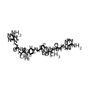 CC(CNC(=O)CCn1cnc2c(N)ncnc21)C(=O)Nc1ccc(/N=C/c2ccc(NC(=O)C(C)CNC(=O)CCn3cnc4c(N)ncnc43)n2C)cc1